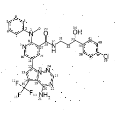 CN(c1ccccc1)c1ncc(-c2cc(C(F)(F)F)c3c(N)ncnn23)cc1C(=O)NCC[C@H](O)c1ccc(Cl)cc1